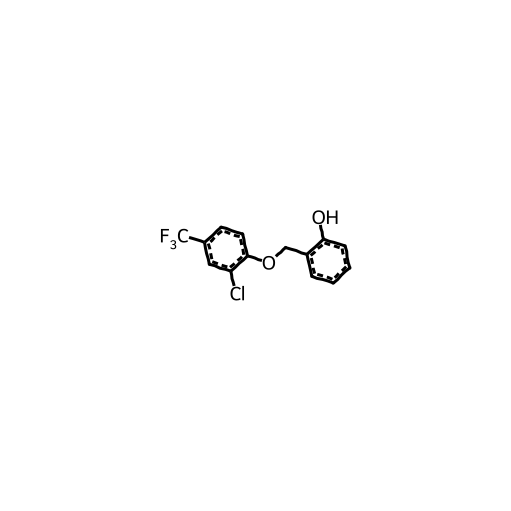 Oc1ccccc1COc1ccc(C(F)(F)F)cc1Cl